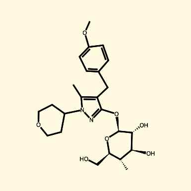 COc1ccc(Cc2c(O[C@@H]3O[C@H](CO)[C@@H](C)[C@H](O)[C@H]3O)nn(C3CCOCC3)c2C)cc1